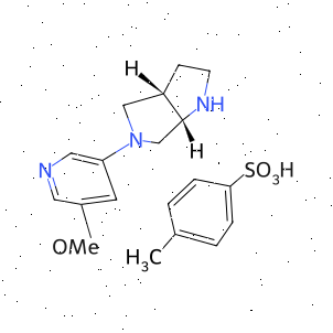 COc1cncc(N2C[C@@H]3CCN[C@@H]3C2)c1.Cc1ccc(S(=O)(=O)O)cc1